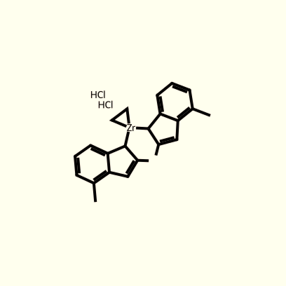 CC1=Cc2c(C)cccc2[CH]1[Zr]1([CH]2C(C)=Cc3c(C)cccc32)[CH2][CH2]1.Cl.Cl